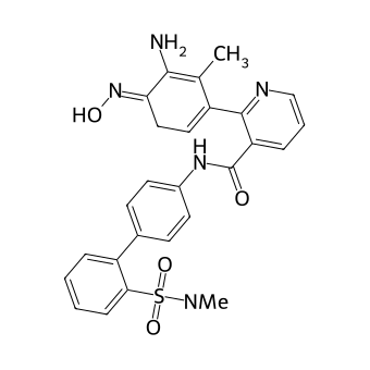 CNS(=O)(=O)c1ccccc1-c1ccc(NC(=O)c2cccnc2C2=CCC(=NO)C(N)=C2C)cc1